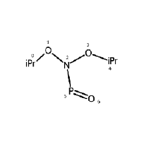 CC(C)ON(OC(C)C)P=O